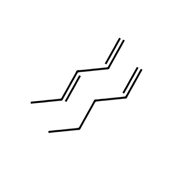 C=CC=CC.C=CCCC